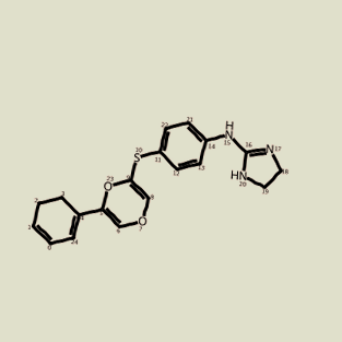 C1=CCCC(C2=COC=C(Sc3ccc(NC4=NCCN4)cc3)O2)=C1